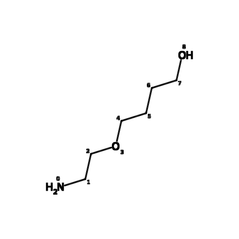 NCCOCCCCO